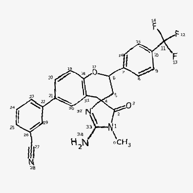 CN1C(=O)C2(CC(c3ccc(C(F)(F)F)cc3)Oc3ccc(-c4cccc(C#N)c4)cc32)N=C1N